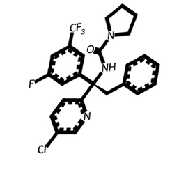 O=C(N[C@@](Cc1ccccc1)(c1cc(F)cc(C(F)(F)F)c1)c1ccc(Cl)cn1)N1CCCC1